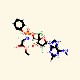 CCOC(=O)[C@H](C)N[P@](=O)(OC[C@@]1(CCl)O[C@@H](n2cnc3c(NC)nc(C)nc32)[C@H](F)[C@@H]1O)Oc1ccccc1